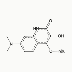 CCCCOc1c(O)c(=O)[nH]c2cc(N(C)C)ccc12